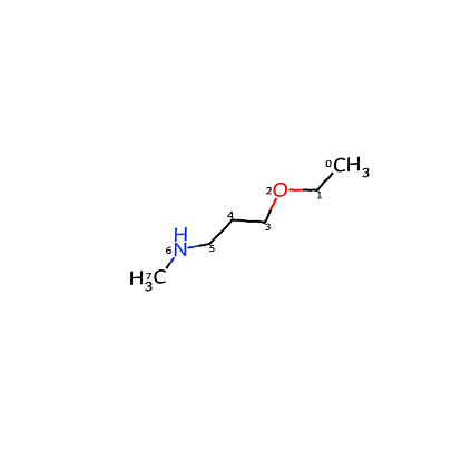 CCOCCCNC